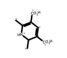 CC1=C(C(=O)O)C=C(C(=O)O)C(C)N1